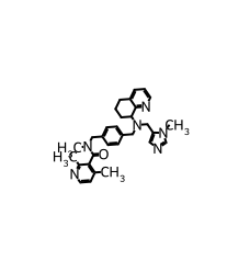 Cc1ccnc(C)c1C(=O)N(C)Cc1ccc(CN(Cc2cncn2C)C2CCCc3cccnc32)cc1